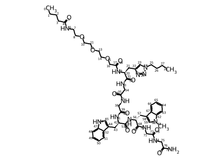 CCCCC(=O)NCCOCCOCCOCC(=O)N[C@@H](Cc1cn(CCCC)nn1)C(=O)NCC(=O)NCC(=O)N[C@H](Cc1c[nH]c2ccccc12)C(=O)N[C@H](Cc1cn(C)c2ccccc12)C(=O)NCC(=O)NCC(N)=O